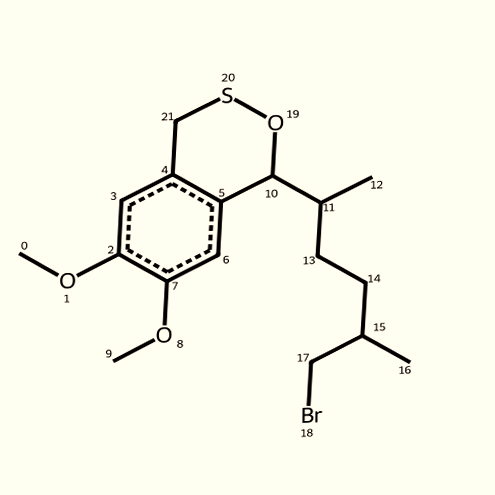 COc1cc2c(cc1OC)C(C(C)CCC(C)CBr)OSC2